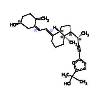 C=C1CC[C@H](O)C/C1=C/C=C1\CCC[C@]2(C)[C@@H]([C@H](C)C#Cc3ccc(C(C)(C)O)o3)CC[C@@H]12